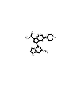 CC(=O)c1cc(-c2cc(C)cc3nccn23)c2cc(N3CCOCC3)ccn12